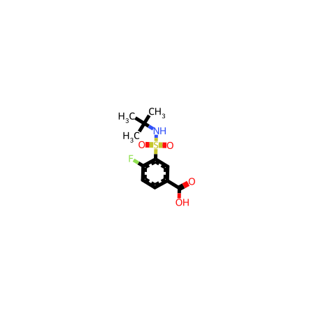 CC(C)(C)NS(=O)(=O)c1cc(C(=O)O)ccc1F